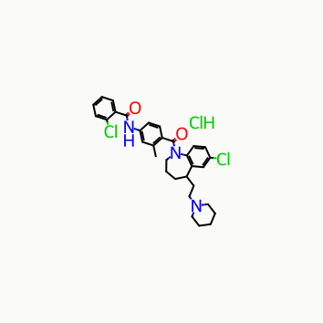 Cc1cc(NC(=O)c2ccccc2Cl)ccc1C(=O)N1CCCC(CCN2CCCCC2)c2cc(Cl)ccc21.Cl